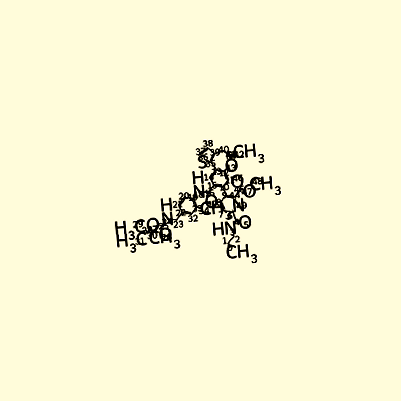 CCCNC(=O)c1ccc(-c2cc3c(cc2C(=O)Nc2ccc(CNC(=O)OC(C)(C)C)cc2C)-c2sccc2C[C@@H](C)O3)c(C(=O)OC)n1